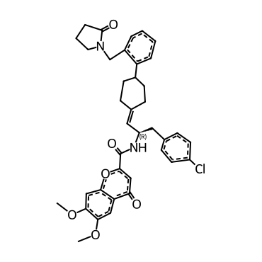 COc1cc2oc(C(=O)N[C@@H](C=C3CCC(c4ccccc4CN4CCCC4=O)CC3)Cc3ccc(Cl)cc3)cc(=O)c2cc1OC